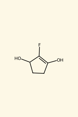 OC1=C(F)C(O)CC1